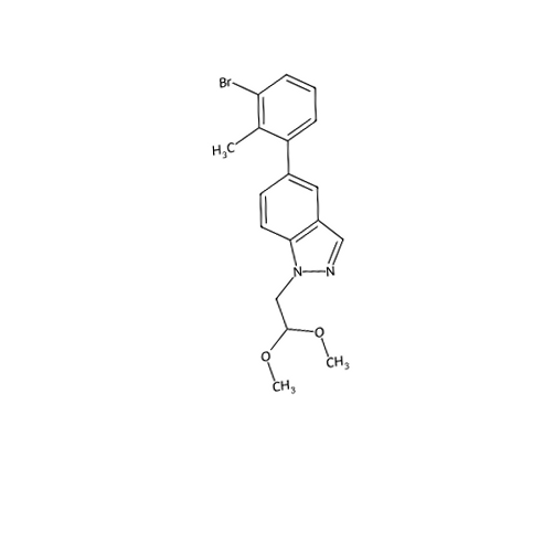 COC(Cn1ncc2cc(-c3cccc(Br)c3C)ccc21)OC